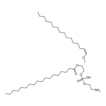 CCCCCCCCCCCCCC/C=C\OC[C@H](COP(=O)(O)OCCN)OC(=O)CCCCCCCCCCCCCCCCC